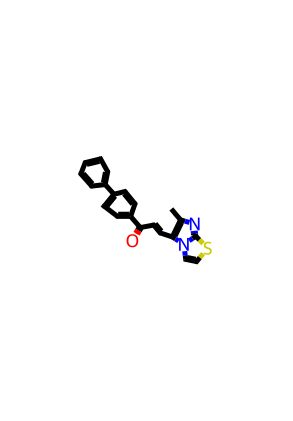 Cc1nc2sccn2c1/C=C/C(=O)c1ccc(-c2ccccc2)cc1